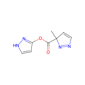 CC1(C(=O)Oc2cc[nH]n2)C=CN=N1